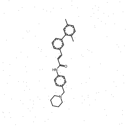 Cc1ccc(C)c(-c2cccc(C=CC(=O)Nc3ccc(CN4CCCCC4)cc3)c2)c1